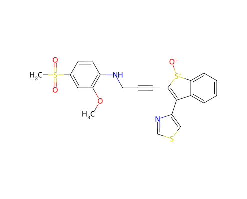 COc1cc(S(C)(=O)=O)ccc1NCC#Cc1c(-c2cscn2)c2ccccc2[s+]1[O-]